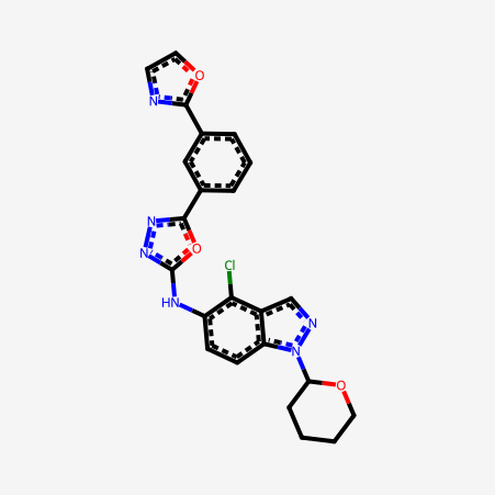 Clc1c(Nc2nnc(-c3cccc(-c4ncco4)c3)o2)ccc2c1cnn2C1CCCCO1